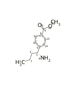 CCC[C@@H](N)c1ccc(C(=O)OC)cc1